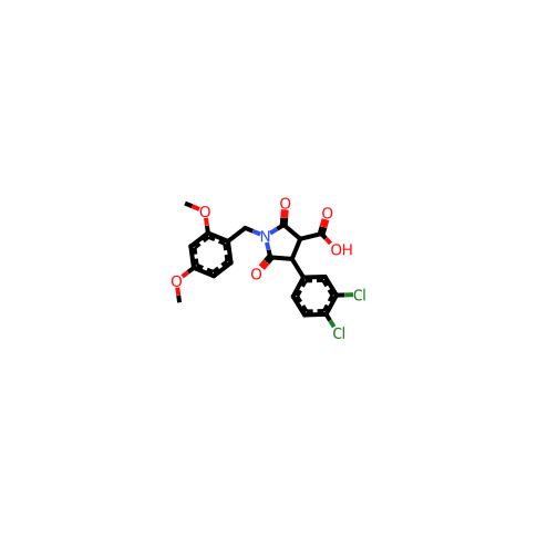 COc1ccc(CN2C(=O)C(C(=O)O)C(c3ccc(Cl)c(Cl)c3)C2=O)c(OC)c1